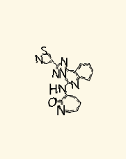 O=c1nccccc1Nc1nc2ccccc2c2nc(-c3cnsc3)nn12